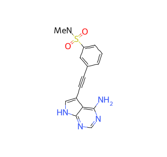 CNS(=O)(=O)c1cccc(C#Cc2c[nH]c3ncnc(N)c23)c1